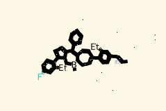 C/C=C/c1ccc(C2=CCC3B(C)CC4C(=CC=C4c4ccc(F)cc4CC)C(c4ccccc4)=C3C=C2)c(CC)c1